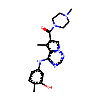 Cc1ccc(Nc2ncnn3cc(C(=O)N4CCN(C)CC4)c(C)c23)cc1O